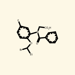 CCC(Br)Oc1ccc(F)cc1N(CC(=O)O)C(=O)c1ccccc1